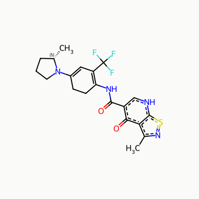 Cc1nsc2[nH]cc(C(=O)NC3=C(C(F)(F)F)C=C(N4CCC[C@@H]4C)CC3)c(=O)c12